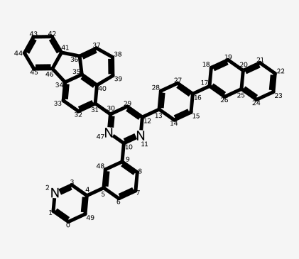 c1cncc(-c2cccc(-c3nc(-c4ccc(-c5ccc6ccccc6c5)cc4)cc(-c4ccc5c6c(cccc46)-c4ccccc4-5)n3)c2)c1